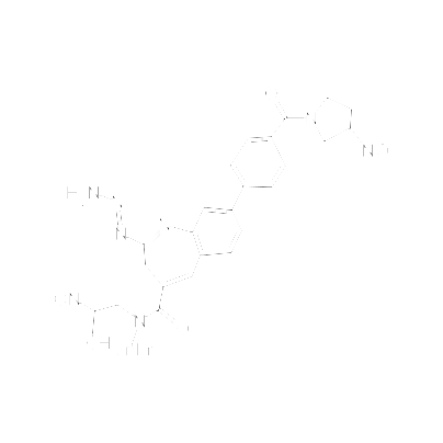 CCCN(CC(C)N=O)C(=O)C1=Cc2ccc(-c3ccc(C(=O)N4CCC(N=O)C4)cc3)cc2N=C(N=NN)C1